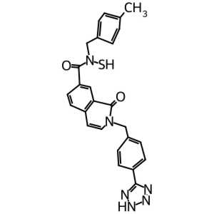 Cc1ccc(CN(S)C(=O)c2ccc3ccn(Cc4ccc(-c5nn[nH]n5)cc4)c(=O)c3c2)cc1